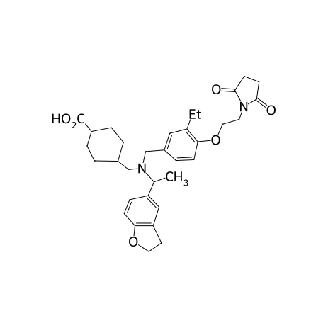 CCc1cc(CN(CC2CCC(C(=O)O)CC2)C(C)c2ccc3c(c2)CCO3)ccc1OCCN1C(=O)CCC1=O